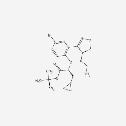 CCOC1CON=C1c1cc(Br)ccc1O[C@@H](CC1CC1)C(=O)OC(C)(C)C